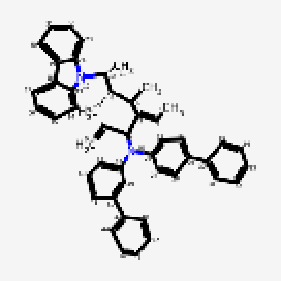 C=CC(/C(=C/C)C(C)[C@H](C)[C@@H](C)n1c2ccccc2c2ccccc21)N(c1ccc(-c2ccccc2)cc1)c1cccc(-c2ccccc2)c1